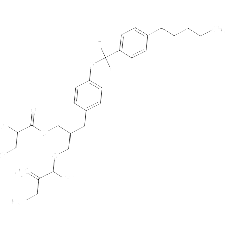 C=C(CC)C(O)OCC(COC(=O)C(C)CO)Cc1ccc(OC(F)(F)c2ccc(CCCCC)cc2)cc1